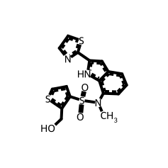 CN(c1cccc2cc(-c3nccs3)[nH]c12)S(=O)(=O)c1ccsc1CO